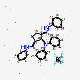 C(Nc1ccccc1)=C1CCC(=CNc2ccccc2)C1=[N+](c1ccccc1)c1ccccc1.F[B-](F)(F)F